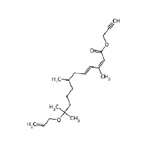 C#CCOC(=O)C=C(C)C=CCC(C)CCCC(C)(C)OCC=C